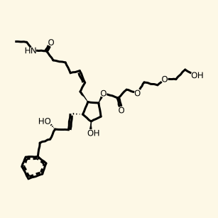 CCNC(=O)CCC/C=C\C[C@@H]1[C@@H](/C=C/[C@@H](O)CCc2ccccc2)[C@H](O)C[C@@H]1OC(=O)COCCOCCO